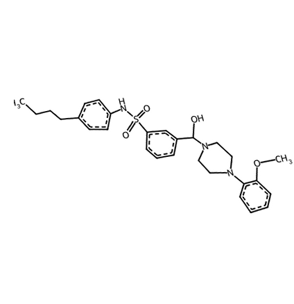 CCCCc1ccc(NS(=O)(=O)c2cccc(C(O)N3CCN(c4ccccc4OC)CC3)c2)cc1